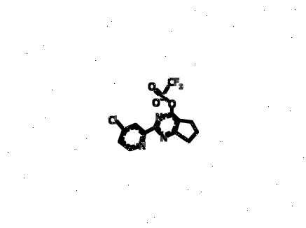 O=S(=O)(Oc1nc(-c2cc(Cl)ccn2)nc2c1CCC2)C(F)(F)F